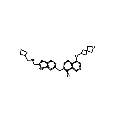 O=c1c2cncc(OC3CC4(COC4)C3)c2ccn1Cc1ccc2cc(CNCC3CCC3)[nH]c2c1